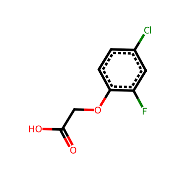 O=C(O)COc1ccc(Cl)cc1F